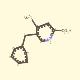 COc1cc(C(=O)O)ncc1Cc1ccccc1